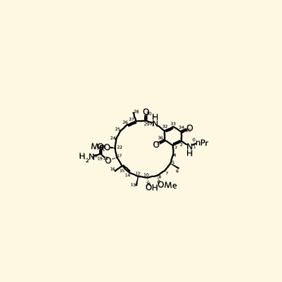 CCCNC1=C2C[C@@H](C)C[C@H](OC)[C@H](O)[C@@H](C)C=C(C)[C@H](OC(N)=O)[C@@H](OC)CCC=C(C)C(=O)NC(=CC1=O)C2=O